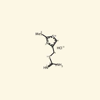 CSc1nc(CSC(=N)N)cs1.Cl